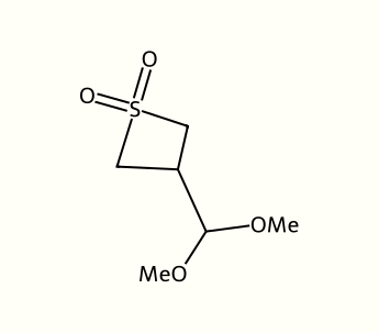 COC(OC)C1CS(=O)(=O)C1